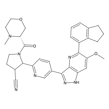 COc1cc2[nH]nc(-c3ccc(C4C(C#N)CCN4C(=O)[C@H]4COCCN4C)nc3)c2nc1-c1cccc2c1CCC2